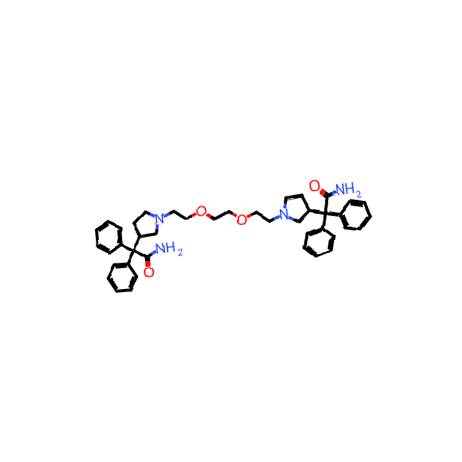 NC(=O)C(c1ccccc1)(c1ccccc1)C1CCN(CCOCCOCCN2CCC(C(C(N)=O)(c3ccccc3)c3ccccc3)C2)C1